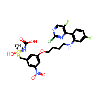 C[SH](O)(Cc1cc(OCCCCNc2cc(F)ccc2-c2nc(Cl)ncc2F)cc([N+](=O)[O-])c1)=NC(=O)O